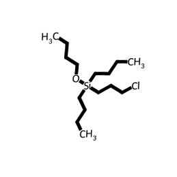 CCCCO[Si](CCCC)(CCCC)CCCCl